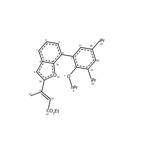 CCCOc1c(-c2cccc3cc(C(C)=CC(=O)OCC)oc23)cc(C(C)C)cc1C(C)C